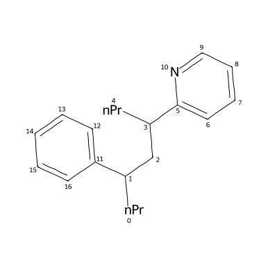 CCCC(CC(CCC)c1ccccn1)c1ccccc1